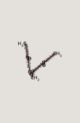 C=Cc1ccc(OCCCCCCCCCCC(=O)OCCCCCCCCCCCC)c(OCCCCCCCCCCC(=O)OCCCCCCCCCCCC)c1